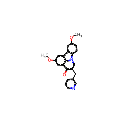 COc1ccc2c(c1)c1cc(OC)cc3c(=O)c(Cc4cccnc4)cn2c31